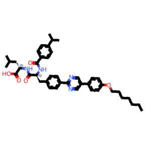 CCCCCCCOc1ccc(-c2cnc(-c3ccc(C[C@H](NC(=O)c4ccc(C(C)C)cc4)C(=O)N[C@@H](CC(C)C)C(=O)O)cc3)nc2)cc1